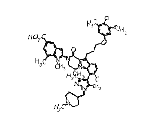 Cc1cc(OCCCc2c3n(c4c(-c5c(C)nn(CC6CCN(C)CC6)c5C)c(Cl)ccc24)[C@H](C)CN(c2cc4cc(C(=O)O)cc(C)c4n2C)C3=O)cc(C)c1Cl